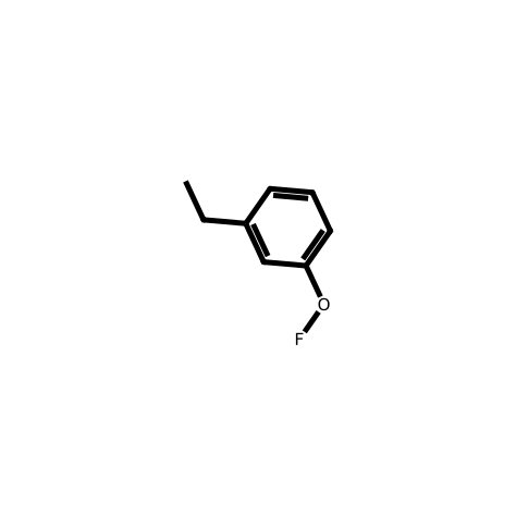 CCc1cccc(OF)c1